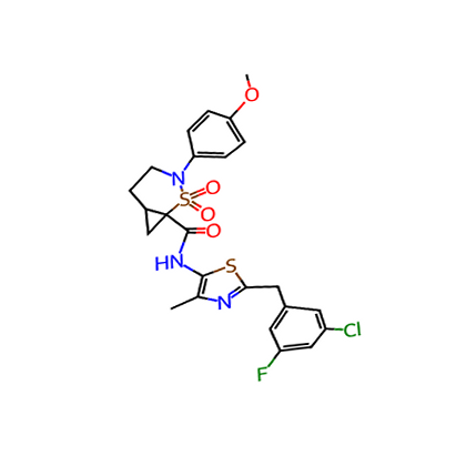 COc1ccc(N2CCC3CC3(C(=O)Nc3sc(Cc4cc(F)cc(Cl)c4)nc3C)S2(=O)=O)cc1